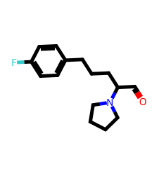 O=CC(CCCc1ccc(F)cc1)N1CCCC1